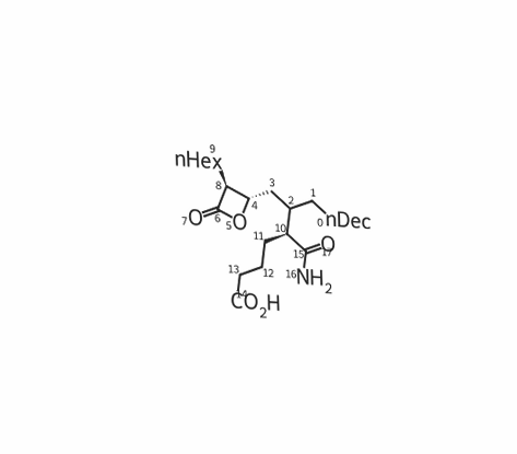 CCCCCCCCCCCC(C[C@@H]1OC(=O)[C@H]1CCCCCC)[C@H](CCCC(=O)O)C(N)=O